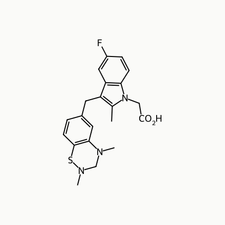 Cc1c(Cc2ccc3c(c2)N(C)CN(C)S3)c2cc(F)ccc2n1CC(=O)O